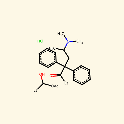 CCC(=O)C(CC(C)N(C)C)(c1ccccc1)c1ccccc1.CCC(O)OC(C)=O.Cl